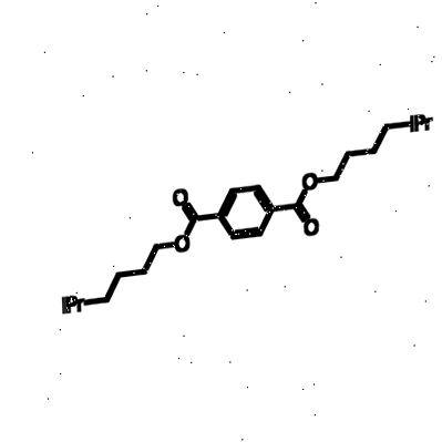 CC(C)CCCCOC(=O)c1ccc(C(=O)OCCCCC(C)C)cc1